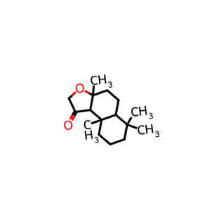 CC1(C)CCCC2(C)C1CCC1(C)OCC(=O)C12